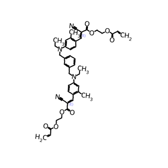 C=CC(=O)OCCOC(=O)/C(C#N)=C/c1ccc(N(CC)Cc2cccc(CN(CC)c3ccc(/C=C(\C#N)C(=O)OCCOC(=O)C=C)c(C)c3)c2)cc1C